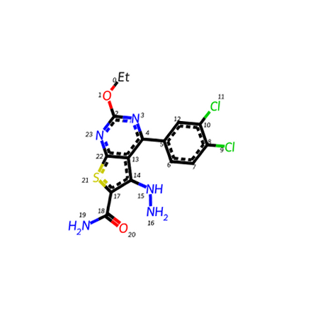 CCOc1nc(-c2ccc(Cl)c(Cl)c2)c2c(NN)c(C(N)=O)sc2n1